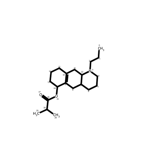 CCCN1CCCC2CC3=C(CCCC3OC(=O)C(C)C)CC21